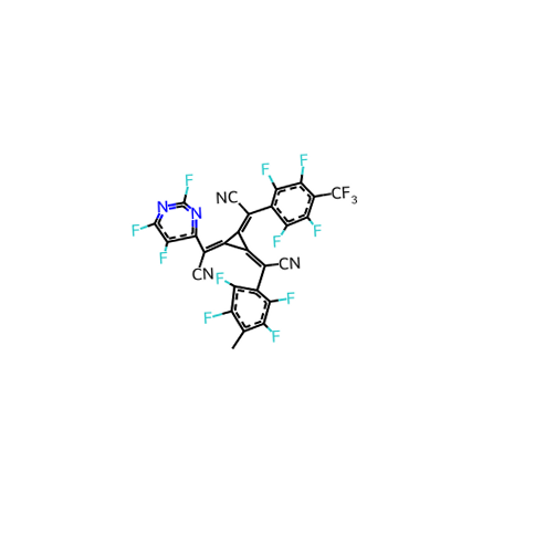 Cc1c(F)c(F)c(/C(C#N)=C2/C(=C(C#N)c3c(F)c(F)c(C(F)(F)F)c(F)c3F)/C2=C(/C#N)c2nc(F)nc(F)c2F)c(F)c1F